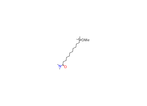 CO[Si](C)(C)CCCCCCCCCCC(=O)N(C)C